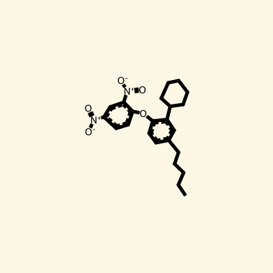 CCCCCc1ccc(Oc2ccc([N+](=O)[O-])cc2[N+](=O)[O-])c(C2CCCCC2)c1